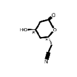 N#CC[C@@H]1C[C@@H](O)CC(=O)O1